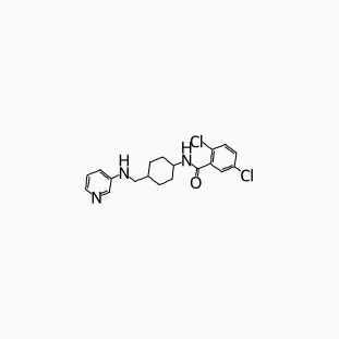 O=C(NC1CCC(CNc2cccnc2)CC1)c1cc(Cl)ccc1Cl